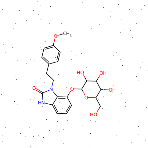 COc1ccc(CCn2c(=O)[nH]c3cccc(OC4OC(CO)C(O)C(O)C4O)c32)cc1